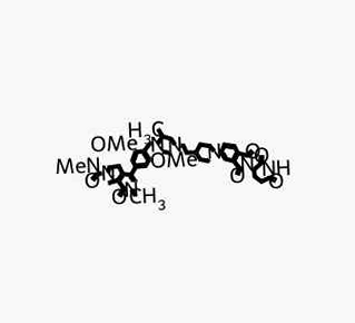 CNC(=O)N1CCc2c(-c3cc(OC)c(CN4CCN(CCC5CCN(c6ccc7c(c6)C(=O)N(C6CCC(=O)NC6=O)C7=O)CC5)CC4C)c(OC)c3)cn(C)c(=O)c2C1